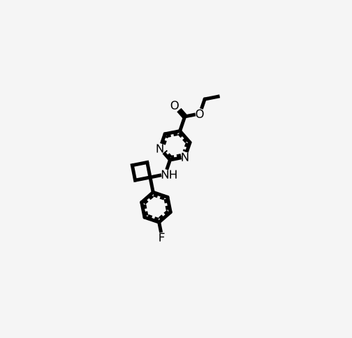 CCOC(=O)c1cnc(NC2(c3ccc(F)cc3)CCC2)nc1